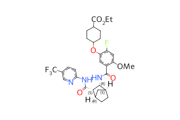 CCOC(=O)C1CCC(Oc2cc(C(=O)N[C@@H]3[C@H]4CC[C@H](C4)[C@@H]3C(=O)Nc3ccc(C(F)(F)F)cn3)c(OC)cc2F)CC1